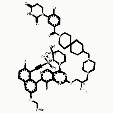 CCc1ccc(C(=O)N2CCC3(CCC(CN4CCN(C[C@@H](C)COc5nc(N6CCC[C@@](C)(O)C6)c6cnc(-c7cc(OCOC)cc8ccc(F)c(C#C[Si](C(C)C)(C(C)C)C(C)C)c78)c(F)c6n5)CC4)CC3)CC2)cc1N1CCC(=O)NC1=O